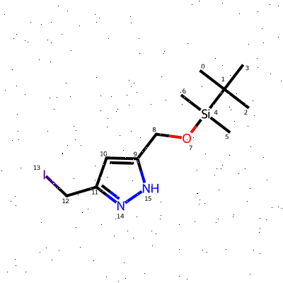 CC(C)(C)[Si](C)(C)OCc1cc(CI)n[nH]1